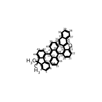 CC1(C)c2ccccc2-c2c(-c3c4ccccc4c(-c4cccc5oc6c7ccccc7ccc6c45)c4ccccc34)cccc21